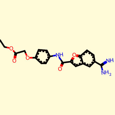 CCOC(=O)COc1ccc(NC(=O)c2cc3cc(C(=N)N)ccc3o2)cc1